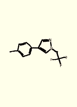 Cc1ccc(-c2cnn(CC(F)(F)F)c2)cc1